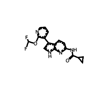 O=C(Nc1ccc2c(-c3cccnc3OC(F)F)c[nH]c2n1)C1CC1